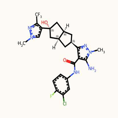 [CH2]n1cc([C@@]2(O)C[C@H]3C[C@@H](c4nn(C)c(N)c4C(=O)Nc4ccc(F)c(Cl)c4)C[C@H]3C2)c(C(F)(F)F)n1